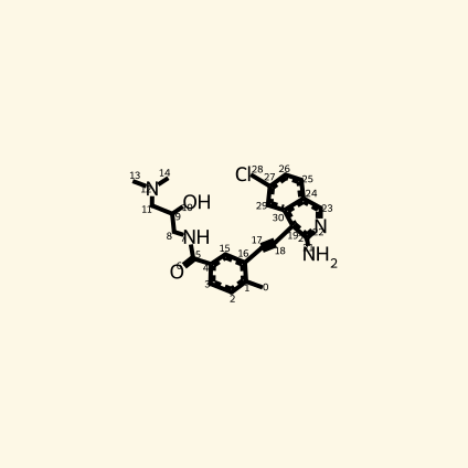 Cc1ccc(C(=O)NCC(O)CN(C)C)cc1C#Cc1c(N)ncc2ccc(Cl)cc12